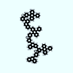 c1ccc(-c2c3ccccc3c(-c3cc(-c4ccc5cc(-c6ccc7oc8ccc(-c9c%10ccccc%10c(-c%10ccccc%10)c%10ccc(-c%11ccc%12ccc%13c(-c%14cccc%15oc%16ccc(-c%17c%18ccccc%18c(-c%18ccccc%18)c%18ccccc%17%18)cc%16c%14%15)cccc%13c%12c%11)cc9%10)cc8c7c6)c6ccccc6c5c4)c4oc5cc(-c6cc7ccccc7c7ccccc67)ccc5c4c3)c3ccccc23)cc1